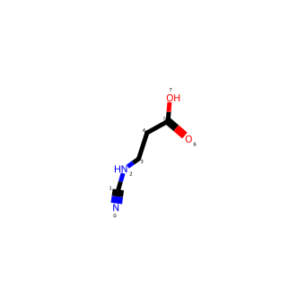 N#CNCCC(=O)O